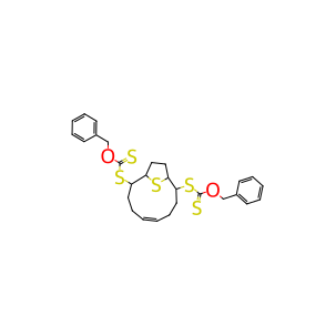 S=C(OCc1ccccc1)SC1CCC=CCCC(SC(=S)OCc2ccccc2)C2CCC1S2